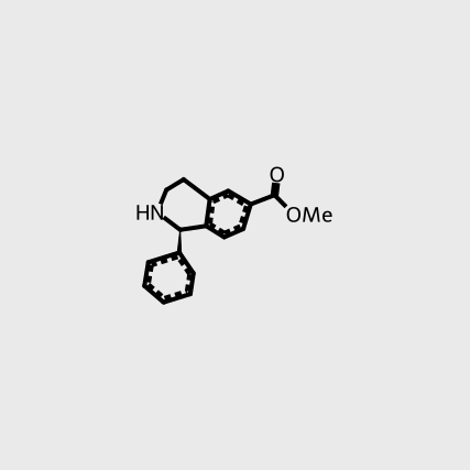 COC(=O)c1ccc2c(c1)CCN[C@@H]2c1ccccc1